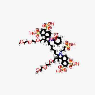 COCCOCCOCCC1(C)C(=CC=CC=CC2N(CCCS(=O)(=O)O)c3ccc4c(S(=O)(=O)O)cc(S(=O)(=O)O)cc4c3C2(C)CCOCCOCCOC)N(CCCCCC(=O)O)c2ccc3c(S(=O)(=O)O)cc(S(=O)(=O)O)cc3c21